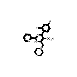 O=C(O)C1=C(CN2CCOCC2)NC(c2ccccn2)=NC1c1ccc(F)cc1Cl